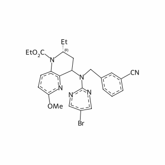 CCOC(=O)N1c2ccc(OC)nc2C(N(Cc2cccc(C#N)c2)c2ncc(Br)cn2)C[C@H]1CC